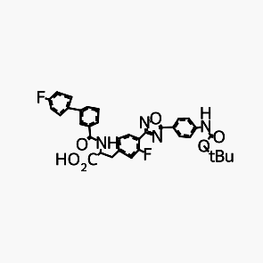 CC(C)(C)OC(=O)Nc1ccc(-c2nc(-c3ccc(CC(NC(=O)c4cccc(-c5ccc(F)cc5)c4)C(=O)O)cc3F)no2)cc1